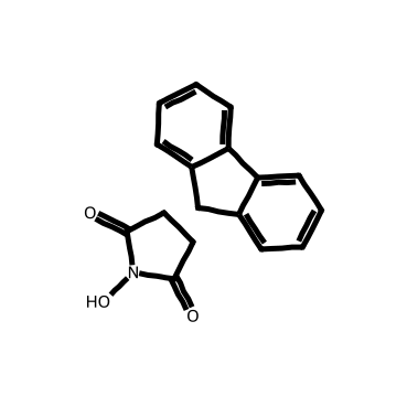 O=C1CCC(=O)N1O.c1ccc2c(c1)Cc1ccccc1-2